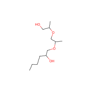 CCCCC(O)COC(C)COC(C)CO